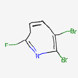 Fc1ccc(Br)c(Br)n1